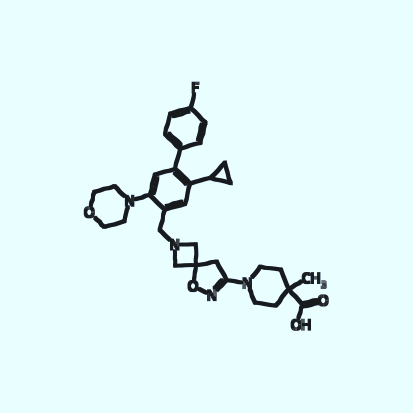 CC1(C(=O)O)CCN(C2=NOC3(C2)CN(Cc2cc(C4CC4)c(-c4ccc(F)cc4)cc2N2CCOCC2)C3)CC1